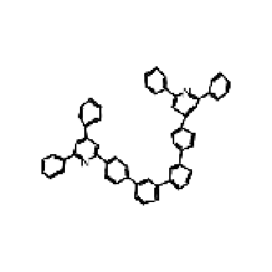 c1ccc(-c2cc(-c3ccccc3)nc(-c3ccc(-c4cccc(-c5cccc(-c6ccc(-c7cc(-c8ccccc8)nc(-c8ccccc8)c7)cc6)c5)c4)cc3)c2)cc1